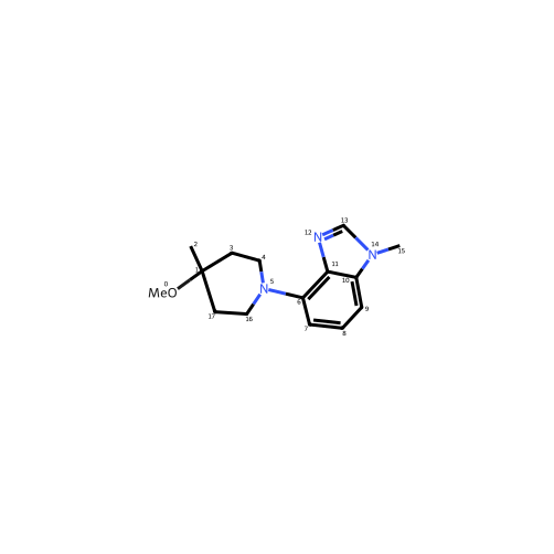 COC1(C)CCN(c2cccc3c2ncn3C)CC1